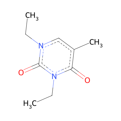 CCn1cc(C)c(=O)n(CC)c1=O